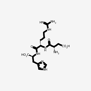 N=C(N)NCCC[C@H](NC(=O)[C@@H](N)CC(=O)O)C(=O)N[C@@H](Cc1c[nH]cn1)C(=O)O